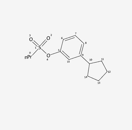 CCCS(=O)(=O)Oc1cccc(C2CCCC2)c1